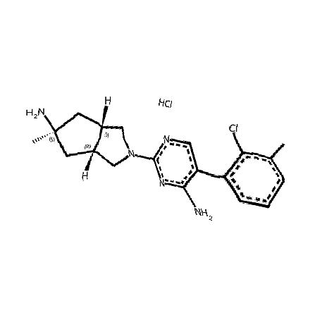 Cc1cccc(-c2cnc(N3C[C@@H]4C[C@@](C)(N)C[C@@H]4C3)nc2N)c1Cl.Cl